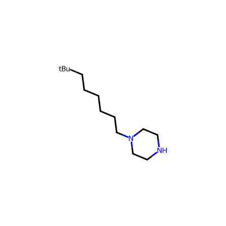 CC(C)(C)CCCCCCN1CCNCC1